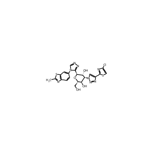 Cc1nc2ccc(-n3cnnc3[C@@H]3O[C@H](CO)[C@H](O)[C@H](n4cc(-c5nc(Cl)cs5)nn4)[C@H]3O)cc2s1